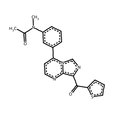 CC(=O)N(C)c1cccc(-c2ccnc3c(C(=O)c4cccs4)ncn23)c1